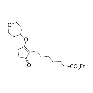 CCOC(=O)CCCCCCC1=C(OC2CCOCC2)CCC1=O